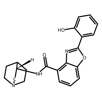 O=C(N[C@@H]1CN2CCC1CC2)c1cccc2oc(-c3ccccc3O)nc12